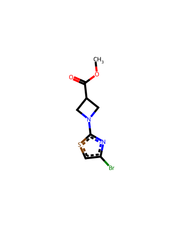 COC(=O)C1CN(c2nc(Br)cs2)C1